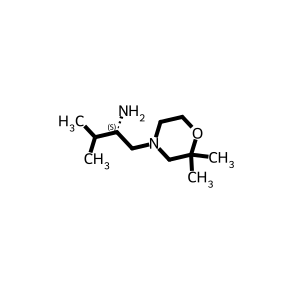 CC(C)[C@H](N)CN1CCOC(C)(C)C1